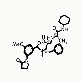 COc1cc(C(=O)N[C@@H](Cc2ccccc2)[C@@H](O)CN[C@@H](C)C(=O)NC2CCCCC2)cc(N2CCCC2=O)c1